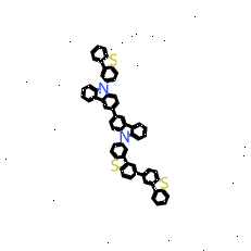 c1ccc2c(c1)sc1ccc(-c3ccc4sc5ccc(-n6c7ccccc7c7cc(-c8ccc9c(c8)c8ccccc8n9-c8ccc9sc%10ccccc%10c9c8)ccc76)cc5c4c3)cc12